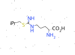 CC(C)CSC(=N)NCCC[C@@H](N)C(=O)O